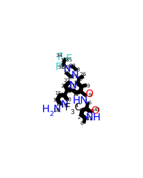 Cc1cc(C(F)(F)F)c(CNC(=O)c2cc3c(-c4ccc(N)nc4)ccn3c(C(C)N3CCN(C(F)C(F)F)CC3)c2C)c(=O)[nH]1